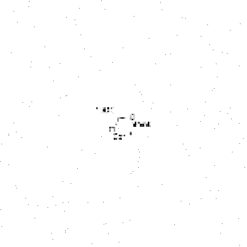 CCCCC[CH2][Co+].O=C([O-])C(Cl)Cl